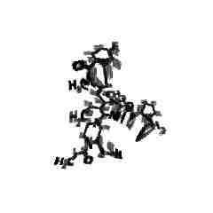 C=CC(=O)N1CCN(C2NC(OC[C@H]3CCCN3C)NC(C[C@]3(C)Cc4cc(F)ccc4C(=O)N3C)C2CC)C[C@H]1CC#N